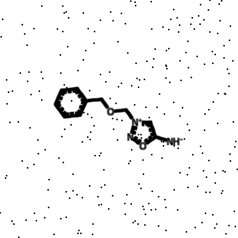 [NH-]c1c[n+](COCc2ccccc2)no1